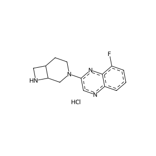 Cl.Fc1cccc2ncc(N3CCC4CNC4C3)nc12